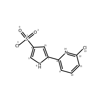 O=S(=O)(Cl)c1c[nH]c(-c2cccc(Cl)n2)c1